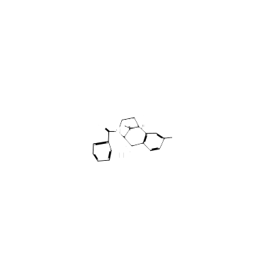 C[C@H]1C2[C@@H](O)c3ccc(O)cc3[C@]1(C)CCN2C(=O)c1ccccc1